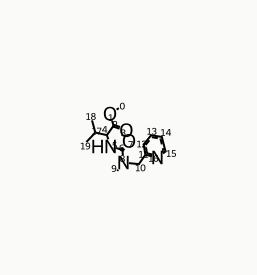 COC(=O)C(NC(=O)N(C)Cc1ccccn1)C(C)C